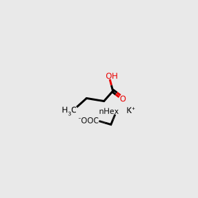 CCCC(=O)O.CCCCCCCC(=O)[O-].[K+]